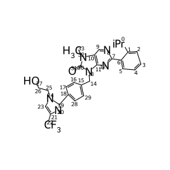 CC(C)c1ccccc1-c1ncc2c(n1)n(Cc1ccc(-c3nc(C(F)(F)F)cn3CCO)cc1)c(=O)n2C